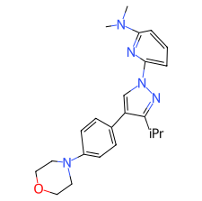 CC(C)c1nn(-c2cccc(N(C)C)n2)cc1-c1ccc(N2CCOCC2)cc1